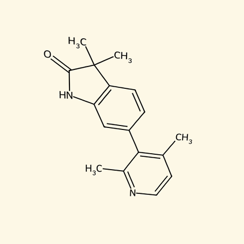 Cc1ccnc(C)c1-c1ccc2c(c1)NC(=O)C2(C)C